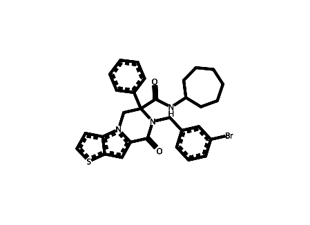 O=C1c2cc3sccc3n2CC(C(=O)NC2CCCCCC2)(c2ccccc2)N1Cc1cccc(Br)c1